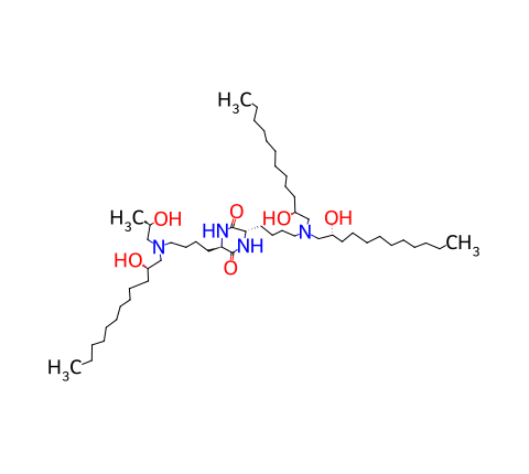 CCCCCCCCCC[C@@H](O)CN(CCCC[C@@H]1NC(=O)[C@@H](CCCCN(C[C@H](O)CCCCCCCCCC)C[C@@H](C)O)NC1=O)C[C@@H](O)CCCCCCCCCC